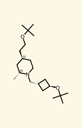 C[C@@H]1C[C@@H](CCOC(C)(C)C)CCN1C[C@H]1C[C@H](OC(C)(C)C)C1